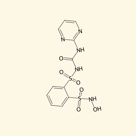 O=C(Nc1ncccn1)NS(=O)(=O)c1ccccc1S(=O)(=O)NO